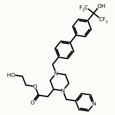 O=C(CC1CN(Cc2ccc(-c3ccc(C(O)(C(F)(F)F)C(F)(F)F)cc3)cc2)CCN1Cc1ccncc1)OCCO